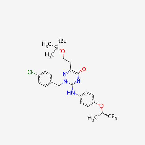 C[C@@H](Oc1ccc(Nc2nc(=O)c(CCO[Si](C)(C)C(C)(C)C)nn2Cc2ccc(Cl)cc2)cc1)C(F)(F)F